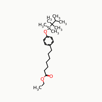 CCOC(=O)CCCCCCc1ccc(O[Si](C)(C)C(C)(C)C(C)C)cc1